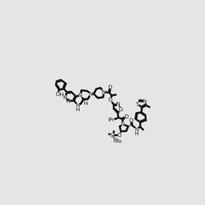 Cc1ncsc1-c1ccc(C(C)NC(=O)[C@@H]2C[C@@H](O[Si](C)(C)C(C)(C)C)CN2C(=O)C(c2cc(OC(C)C(=O)N3CCC(N4CCN5c6cc(-c7ccccc7O)nnc6NC[C@H]5C4)CC3)no2)C(C)C)cc1